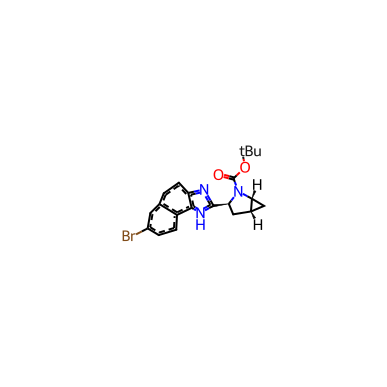 CC(C)(C)OC(=O)N1[C@@H]2C[C@@H]2C[C@H]1c1nc2ccc3cc(Br)ccc3c2[nH]1